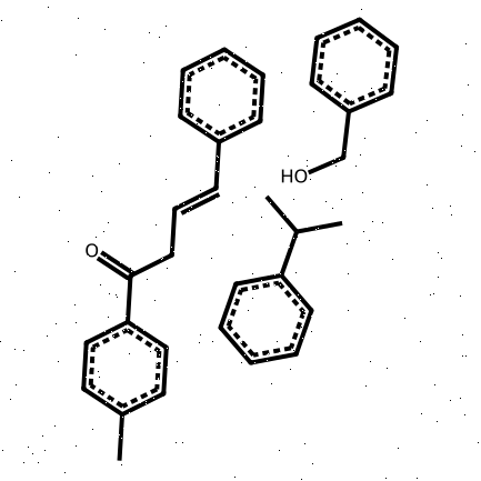 CC(C)c1ccccc1.Cc1ccc(C(=O)CC=Cc2ccccc2)cc1.OCc1ccccc1